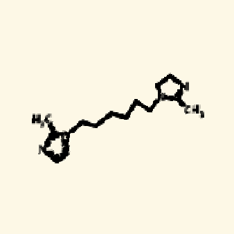 CC1=NCCN1CCCCCCn1ccnc1C